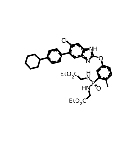 CCOC(=O)CNP(=O)(NCC(=O)OCC)c1cc(Oc2nc3cc(-c4ccc(C5CCCCC5)cc4)c(Cl)cc3[nH]2)ccc1C